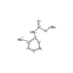 CC(C)(C)OC(=O)Nc1cnccc1C(C)(C)C